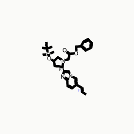 C/C=C/c1ccc2nc([C@H]3CC(O[Si](C)(C)C(C)(C)C)CN3CC(=O)OCc3ccccc3)cn2c1